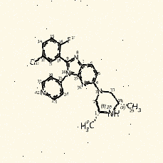 C[C@@H]1CN(c2ccc3nc(-c4cc(Cl)ccc4F)n(-c4ccncc4)c3n2)C[C@H](C)N1